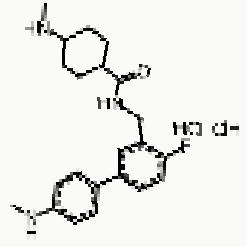 CNc1ccc(-c2ccc(F)c(CNC(=O)C3CCC(NC)CC3)c2)cc1.Cl.Cl